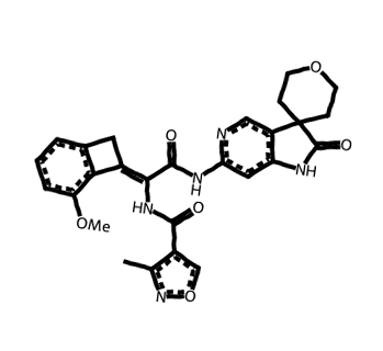 COc1cccc2c1C(=C(NC(=O)c1conc1C)C(=O)Nc1cc3c(cn1)C1(CCOCC1)C(=O)N3)C2